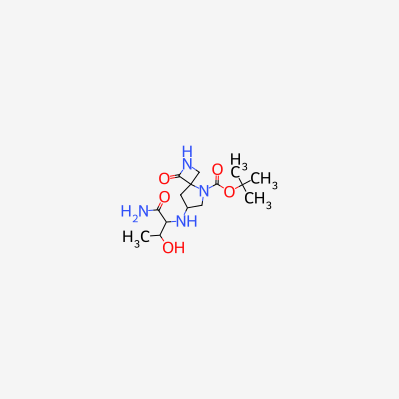 CC(O)C(NC1CN(C(=O)OC(C)(C)C)C2(CNC2=O)C1)C(N)=O